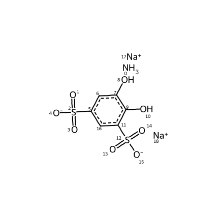 N.O=S(=O)([O-])c1cc(O)c(O)c(S(=O)(=O)[O-])c1.[Na+].[Na+]